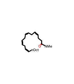 CCCCCCCC/C=C\C/C=C\C/C=C\C/C=C\CCC(=O)NC